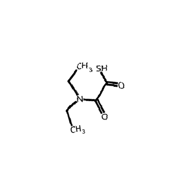 CCN(CC)C(=O)C(=O)S